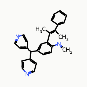 C=Nc1ccc(C(c2ccncc2)c2ccncc2)cc1/C(C)=C(\C)c1ccccc1